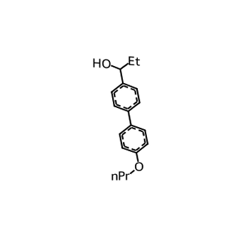 CCCOc1ccc(-c2ccc(C(O)CC)cc2)cc1